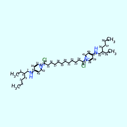 CCCCC(CC)CNc1cc[n+](C(Cl)CCCCCCCCCCC(Cl)[n+]2ccc(NCC(CC)CCCC)cc2)cc1